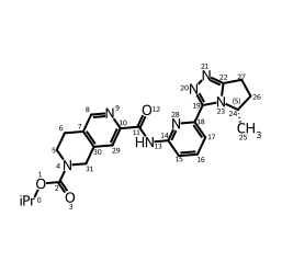 CC(C)OC(=O)N1CCc2cnc(C(=O)Nc3cccc(-c4nnc5n4[C@@H](C)CC5)n3)cc2C1